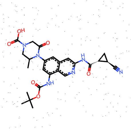 CC1CN(C(=O)O)CC(=O)N1c1cc(NC(=O)OC(C)(C)C)c2cnc(NC(=O)[C@@H]3C[C@H]3C#N)cc2c1